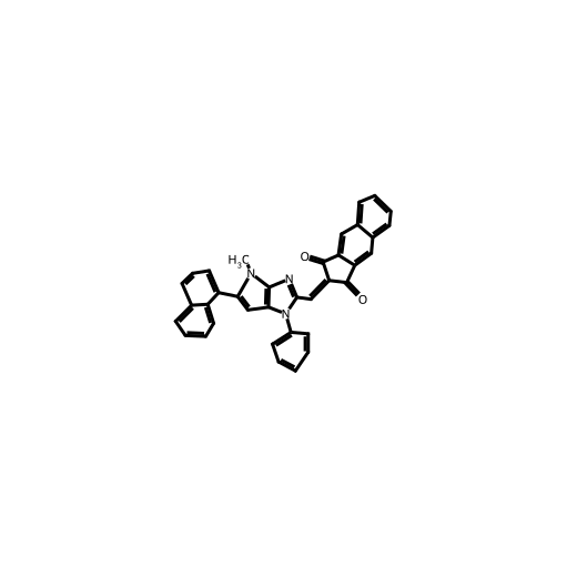 Cn1c(-c2cccc3ccccc23)cc2c1nc(C=C1C(=O)c3cc4ccccc4cc3C1=O)n2-c1ccccc1